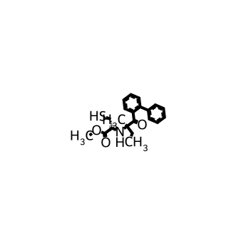 CCC(C)(N[C@@H](CS)C(=O)OC)C(=O)c1ccccc1-c1ccccc1